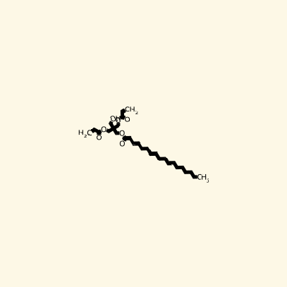 C=CC(=O)OCC(CO)(COC(=O)C=C)COC(=O)CCCCCCCCCCCCCCCCC